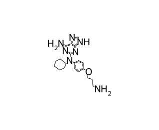 NCCCOc1ccc(N(c2nc(N)c3nc[nH]c3n2)C2CCCCC2)cc1